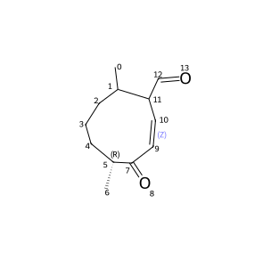 CC1CCC[C@@H](C)C(=O)/C=C\C1C=O